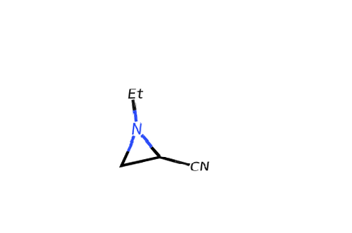 CCN1CC1C#N